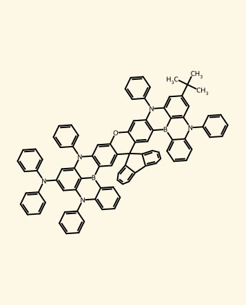 CC(C)(C)c1cc2c3c(c1)N(c1ccccc1)c1cc4c(cc1B3c1ccccc1N2c1ccccc1)C1(c2cc3c(cc2O4)N(c2ccccc2)c2cc(N(c4ccccc4)c4ccccc4)cc4c2B3c2ccccc2N4c2ccccc2)c2ccccc2-c2ccccc21